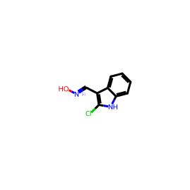 O/N=C/c1c(Cl)[nH]c2ccccc12